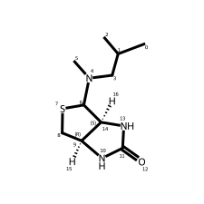 CC(C)CN(C)C1SC[C@@H]2NC(=O)N[C@H]12